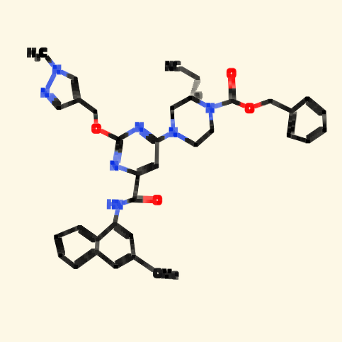 COc1cc(NC(=O)c2cc(N3CCN(C(=O)OCc4ccccc4)[C@@H](CC#N)C3)nc(OCc3cnn(C)c3)n2)c2ccccc2c1